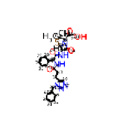 CC1(C)S[C@@H]2[C@H](NC(=O)[C@H](NC(=O)CCc3cnnn3Cc3ccccc3)c3ccccc3)C(=O)N2[C@H]1C1OC1O